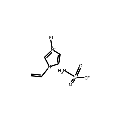 C=Cn1cc[n+](CC)c1.NS(=O)(=O)C(F)(F)F